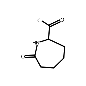 O=C1CCCCC(C(=O)Cl)N1